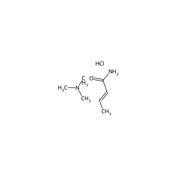 CC=CC(N)=O.CN(C)C.Cl